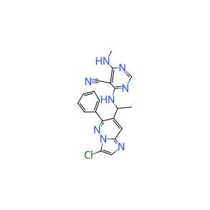 CNc1ncnc(NC(C)c2cc3ncc(Cl)n3nc2-c2ccccc2)c1C#N